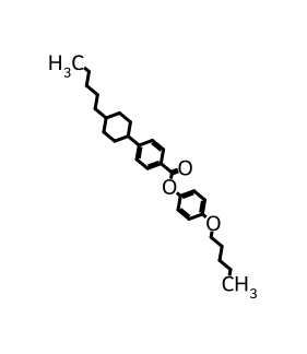 CCCCCOc1ccc(OC(=O)c2ccc(C3CCC(CCCCC)CC3)cc2)cc1